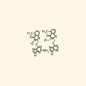 Cc1cccc2nc(CSc3nc(N)nc4[nH]cnc34)n(C3CC3)c(=O)c12.Cc1cccc2nc(CSc3ncnc4[nH]cnc34)n(CC3CC3)c(=O)c12